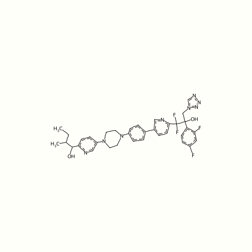 CCC(C)C(O)c1ccc(N2CCN(c3ccc(-c4ccc(C(F)(F)C(O)(Cn5cnnn5)c5ccc(F)cc5F)nc4)cc3)CC2)cn1